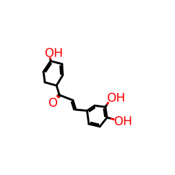 O=C(/C=C/c1ccc(O)c(O)c1)C1C=CC(O)=CC1